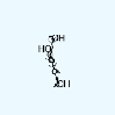 CCC(CC)(c1ccc(C#CC(O)C(C)(C)C)c(C)c1)c1ccc(OC[C@H](O)CCCC(=O)O)c(C)c1